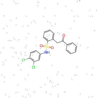 O=C(Cc1ccccc1S(=O)(=O)Nc1ccc(Cl)c(Cl)c1)c1ccccc1